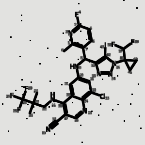 Cc1nc(F)ccc1C(Nc1cc(Cl)c2ncc(C#N)c(NCC(C)(C)C(F)(F)F)c2c1)c1nnn(C2(C(F)F)CC2)c1I